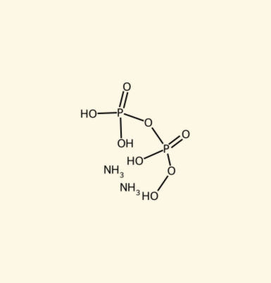 N.N.O=P(O)(O)OP(=O)(O)OO